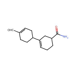 NC(=O)C1CCC=C(C2CC=C(C=O)CC2)C1